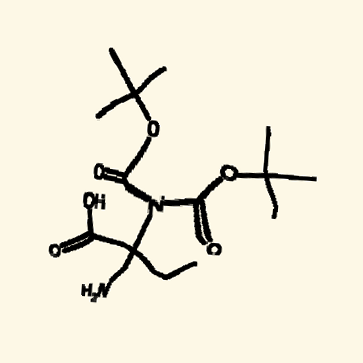 CCC(N)(C(=O)O)N(C(=O)OC(C)(C)C)C(=O)OC(C)(C)C